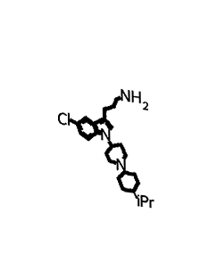 CC(C)[C@H]1CC[C@@H](N2CCC(n3cc(CCCN)c4cc(Cl)ccc43)CC2)CC1